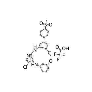 CS(=O)(=O)c1ccc(-c2cc3cc(c2)Nc2ncc(Cl)c(n2)Nc2cccc(c2)OCC3)cc1.O=C(O)C(F)(F)F